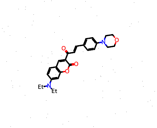 CCN(CC)c1ccc2cc(C(=O)/C=C/c3ccc(N4CCOCC4)cc3)c(=O)oc2c1